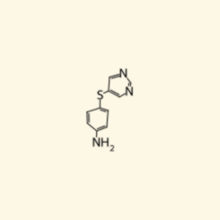 Nc1ccc(Sc2cncnc2)cc1